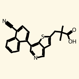 CC(C)(Cc1cc2cncc(-c3ccc(C#N)c4ccccc34)c2s1)C(=O)O